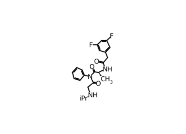 CC(C)NCC(=O)N(C(=O)[C@H](C)NC(=O)Cc1cc(F)cc(F)c1)c1ccccc1